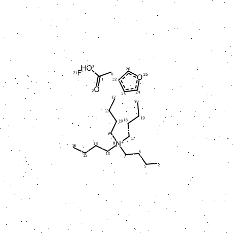 CC(=O)O.CCCC[N+](CCCC)(CCCC)CCCC.[F-].c1ccoc1